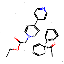 CC(=O)C1(c2ccccc2)C=CC=CC1.CCOC(=O)CN1C=CC(c2ccncc2)=CC1